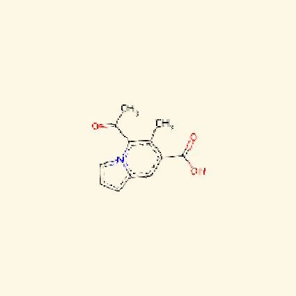 CC(=O)c1c(C)c(C(=O)O)cc2cccn12